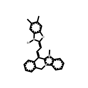 CCN1C(=CC=C2c3ccccc3Cn3c2[n+](C)c2ccccc23)Oc2cc(C)c(C)cc21